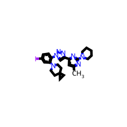 Cc1cc(-c2cn(-c3ccc(I)cc3N3CCC4(CC3)CC4)nn2)nc(N2CCCCC2)n1